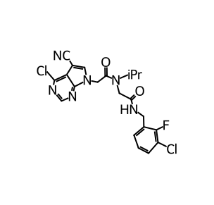 CC(C)N(CC(=O)NCc1cccc(Cl)c1F)C(=O)Cn1cc(C#N)c2c(Cl)ncnc21